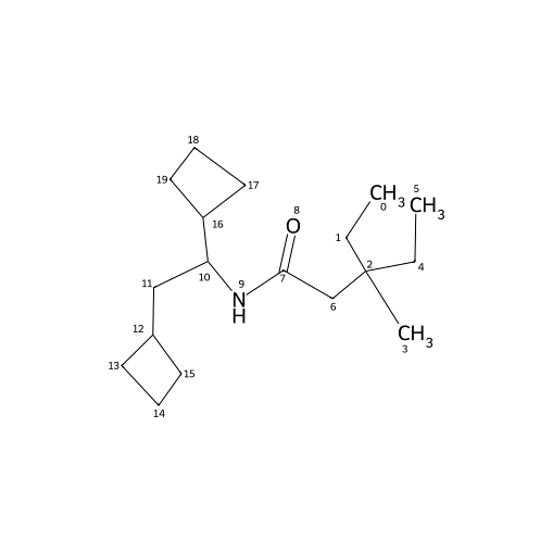 CCC(C)(CC)CC(=O)NC(CC1CCC1)C1CCC1